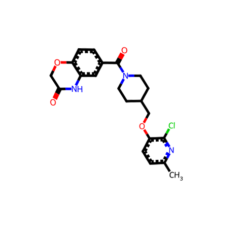 Cc1ccc(OCC2CCN(C(=O)c3ccc4c(c3)NC(=O)CO4)CC2)c(Cl)n1